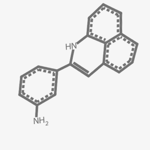 Nc1cccc(C2=Cc3cccc4cccc(c34)N2)c1